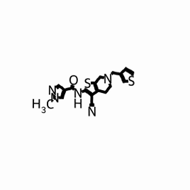 Cn1cc(C(=O)Nc2sc3c(c2C#N)CCN(Cc2ccsc2)C3)cn1